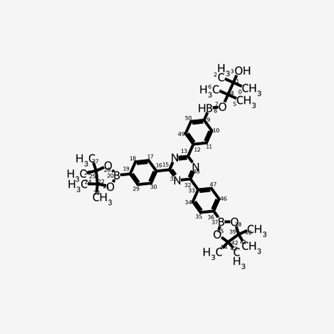 CC(C)(O)C(C)(C)OBc1ccc(-c2nc(-c3ccc(B4OC(C)(C)C(C)(C)O4)cc3)nc(-c3ccc(B4OC(C)(C)C(C)(C)O4)cc3)n2)cc1